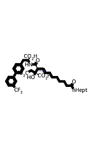 CCCCCCCC(=O)CCCCCC/C=C/[C@H](C(=O)N[C@@H](Cc1ccc(-c2cccc(C(F)(F)F)c2)cc1)C(=O)O)[C@@](O)(CC(=O)O)C(=O)O